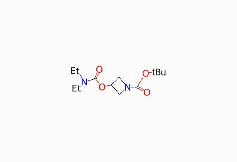 CCN(CC)C(=O)OC1CN(C(=O)OC(C)(C)C)C1